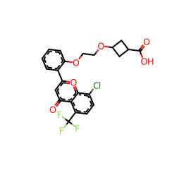 O=C(O)C1CC(OCCOc2ccccc2-c2cc(=O)c3c(C(F)(F)F)ccc(Cl)c3o2)C1